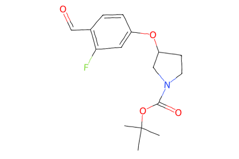 CC(C)(C)OC(=O)N1CCC(Oc2ccc(C=O)c(F)c2)C1